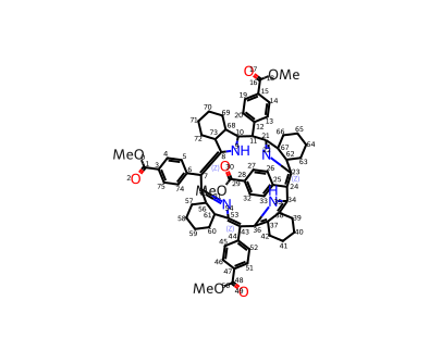 COC(=O)c1ccc(/C2=C3/NC(C(c4ccc(C(=O)OC)cc4)C4=N/C(=C(/c5ccc(C(=O)OC)cc5)c5[nH]c(c6c5CCCC6)/C(c5ccc(C(=O)OC)cc5)=C5N=C2C2CCCCC\52)C2CCCCC42)C2CCCCC32)cc1